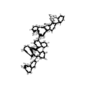 CCc1ccccc1-c1ccc2c(sc3c4ccccc4c(-c4ccc(-c5c6ccccc6c(-c6ccc7ccccc7c6)c6ccccc56)c5ccccc45)cc23)c1CC